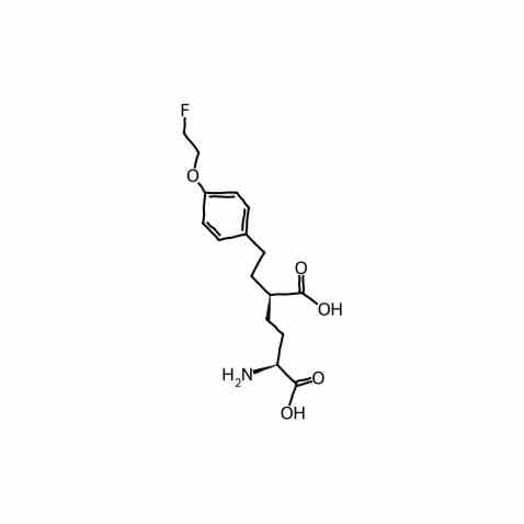 N[C@@H](CC[C@@H](CCc1ccc(OCCF)cc1)C(=O)O)C(=O)O